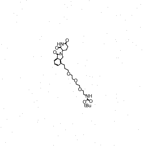 CC(C)(C)OC(=O)NCCOCCOCCOCCCc1cccc2c1CN(C1CCC(=O)NC1=O)C2=O